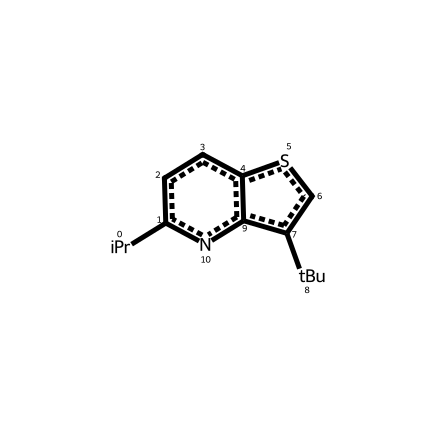 CC(C)c1ccc2scc(C(C)(C)C)c2n1